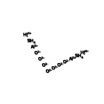 [Al+3].[Al+3].[Hf+4].[Hf+4].[O-2].[O-2].[O-2].[O-2].[O-2].[O-2].[O-2].[SiH4].[SiH4]